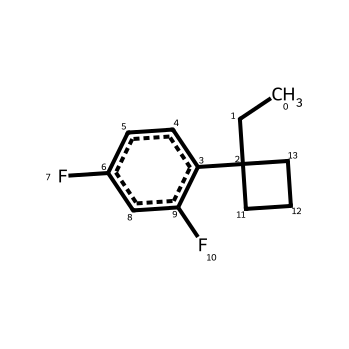 CCC1(c2ccc(F)cc2F)CCC1